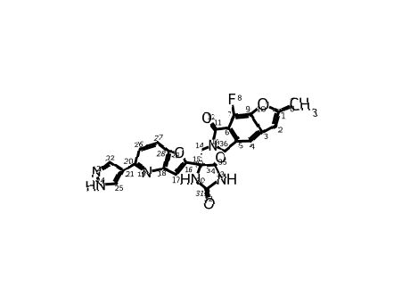 Cc1cc2cc3c(c(F)c2o1)C(=O)N(C[C@@]1(c2cc4nc(-c5cn[nH]c5)ccc4o2)NC(=O)NC1=O)C3